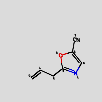 C=CCc1ncc(C#N)o1